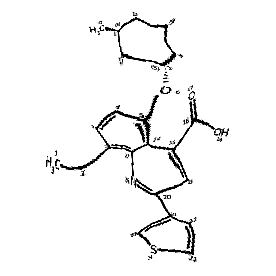 CCc1ccc(O[C@H]2CCC[C@H](C)C2)c2c(C(=O)O)cc(-c3ccsc3)nc12